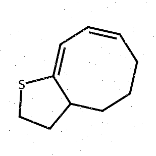 C1=CCCCC2CCSC2=C1